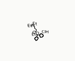 CCN(CC)CCCC(=O)OC(CC)(c1ccccc1)c1ccccc1.Cl